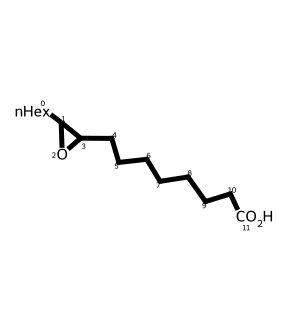 CCCCCCC1OC1CCCCCCCC(=O)O